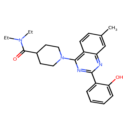 CCN(CC)C(=O)C1CCN(c2nc(-c3ccccc3O)nc3cc(C)ccc23)CC1